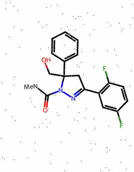 CNC(=O)N1N=C(c2cc(F)ccc2F)CC1(CO)c1ccccc1